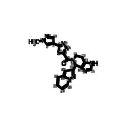 Cn1cc(-c2nnc(C(=O)N3CCc4[nH]cnc4C3c3cc4ccccn4n3)s2)cn1